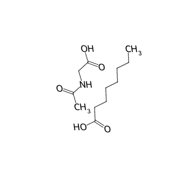 CC(=O)NCC(=O)O.CCCCCCCC(=O)O